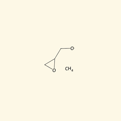 C.[O]CC1CO1